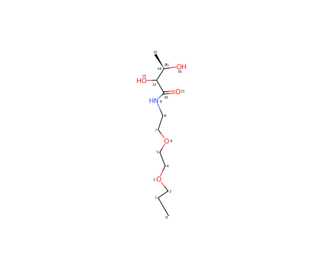 CCCOCCOCCNC(=O)C(O)[C@@H](C)O